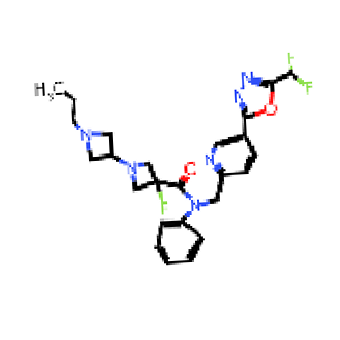 CCCN1CC(N2CC(F)(C(=O)N(Cc3ccc(-c4nnc(C(F)F)o4)cn3)c3ccccc3)C2)C1